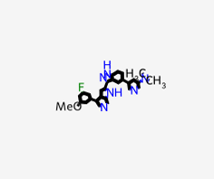 COc1cc(F)cc(-c2cncc3[nH]c(-c4n[nH]c5ccc(-c6cncc(N(C)C)c6)cc45)cc23)c1